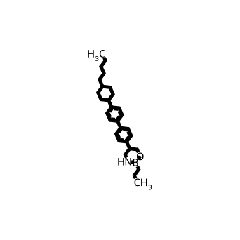 CCCCCC1CCC(c2ccc(-c3ccc(C4CNB(CCC)OC4)cc3)cc2)CC1